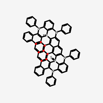 S=P12c3c4cccc3N(c3ccccc3)c3c1c(cc1ccccc31)N(c1ccccc1)c1c2c(cc2cc3c5c(c12)N(c1ccccc1)c1cc2ccccc2c2c1P5(=S)c1c(cccc1N2c1ccccc1)N3c1ccccc1)N4c1ccccc1